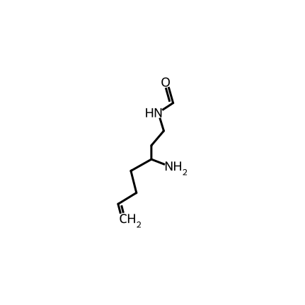 C=CCCC(N)CCNC=O